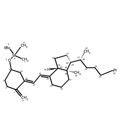 C=C1CCC(O[Si](C)(C)C(C)(C)C)CC1=CC=C1CCC[C@]2(C)[C@@H]([C@H](C)CCCC(C)C)CC[C@@H]12